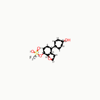 O=S(=O)(Oc1ccc(-c2ccc(O)cc2)c2ccoc12)C(F)(F)F